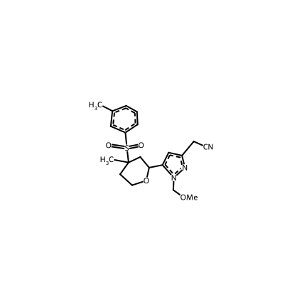 COCn1nc(CC#N)cc1C1CC(C)(S(=O)(=O)c2cccc(C)c2)CCO1